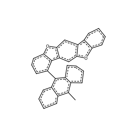 Cc1c2ccccc2c(-c2cccc3oc4cc5c(cc4c23)oc2ccccc25)c2ccccc12